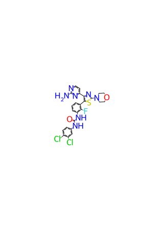 Nc1nccc(-c2nc(N3CCOCC3)sc2-c2cccc(NC(=O)Nc3ccc(Cl)c(Cl)c3)c2F)n1